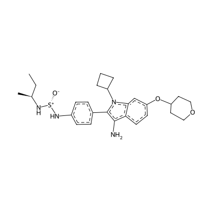 CC[C@H](C)N[S@+]([O-])Nc1ccc(-c2c(N)c3ccc(OC4CCOCC4)cc3n2C2CCC2)cc1